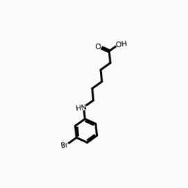 O=C(O)CCCCCNc1cccc(Br)c1